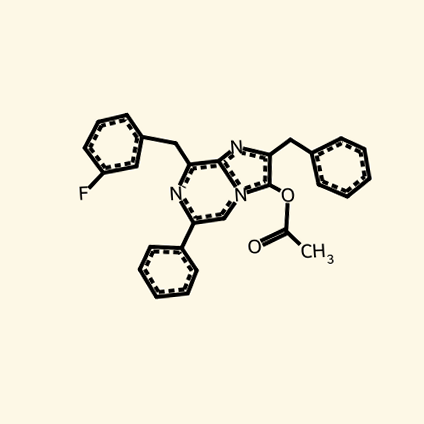 CC(=O)Oc1c(Cc2ccccc2)nc2c(Cc3cccc(F)c3)nc(-c3ccccc3)cn12